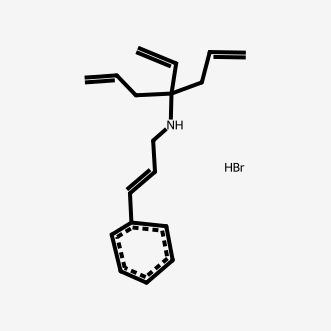 Br.C=CCC(C=C)(CC=C)NCC=Cc1ccccc1